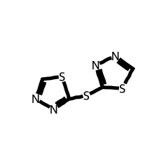 c1nnc(Sc2nncs2)s1